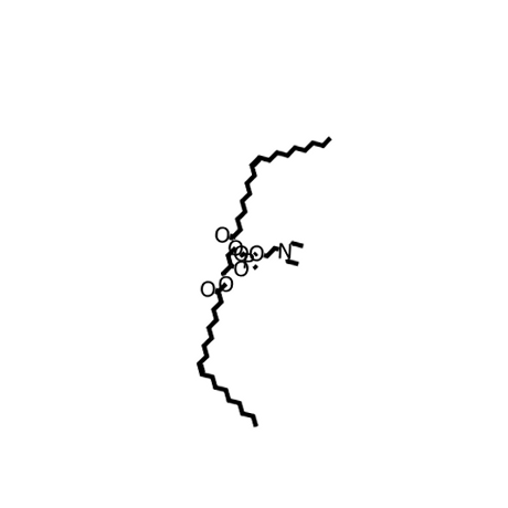 CCCCCCCC/C=C\CCCCCCCC(=O)OCC(COC(=O)CCCCCCC/C=C\CCCCCCCC)OP(C)(=O)OCCN(CC)CC